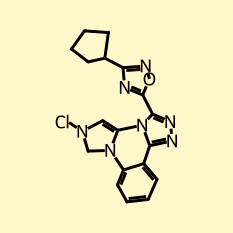 ClN1C=C2N(C1)c1ccccc1-c1nnc(-c3nc(C4CCCC4)no3)n12